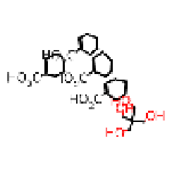 O=C(O)C1=CCCCC1.O=C(O)C1=CCCCC1.O=C(O)C1=CCCCC1.O=C(O)C1=CCCCC1.OCC(CO)(CO)CO